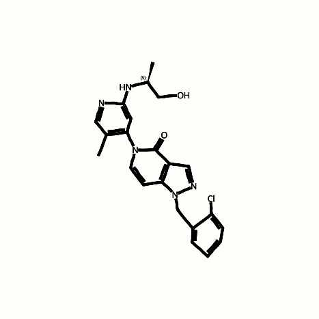 Cc1cnc(N[C@@H](C)CO)cc1-n1ccc2c(cnn2Cc2ccccc2Cl)c1=O